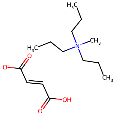 CCC[N+](C)(CCC)CCC.O=C([O-])C=CC(=O)O